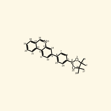 CC1(C)OB(c2ccc(-c3ccc4c(c3)ncc3ccccc34)cc2)OC1(C)C